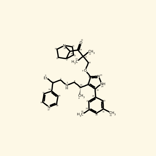 CCC(CNC[C@@H](C)c1c(OCC(C)(C)C(=O)C2C3CCN2CC3)n[nH]c1-c1cc(C)cc(C)c1)c1ccncc1